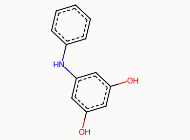 Oc1cc(O)cc(Nc2ccccc2)c1